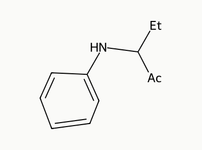 CCC(Nc1ccccc1)C(C)=O